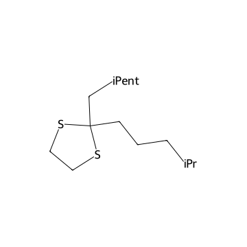 CCCC(C)CC1(CCCC(C)C)SCCS1